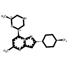 Cc1cc([C@@H]2CNC[C@H](C)O2)n2nc([C@H]3CC[C@H](C(F)(F)F)CC3)cc2n1